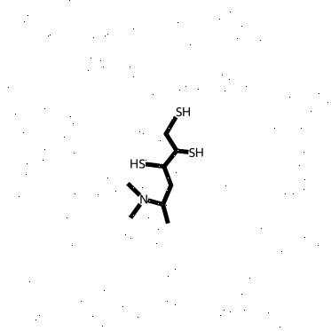 CC(CC(S)C(S)CS)N(C)C